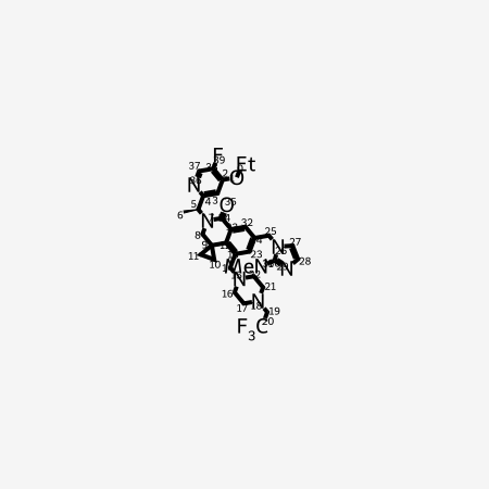 CCOc1cc([C@H](C)N2CC3(CC3)c3c(CN4CCN(CC(F)(F)F)CC4)cc(Cn4ccnc4NC)cc3C2=O)ncc1F